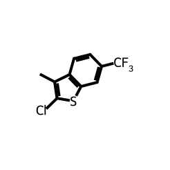 Cc1c(Cl)sc2cc(C(F)(F)F)ccc12